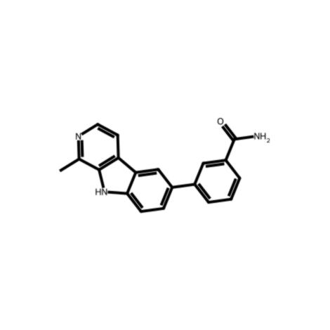 Cc1nccc2c1[nH]c1ccc(-c3cccc(C(N)=O)c3)cc12